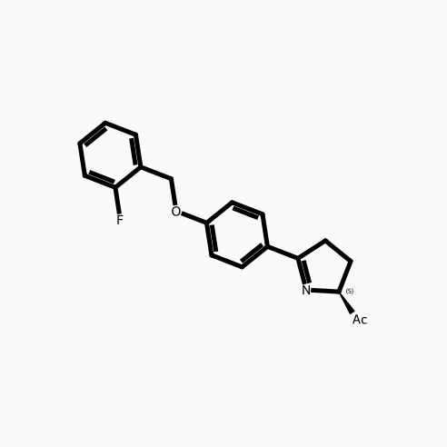 CC(=O)[C@@H]1CCC(c2ccc(OCc3ccccc3F)cc2)=N1